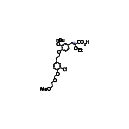 CCCCOc1cc(/C=C(\OCC)C(=O)O)ccc1OCCc1ccc(OCOCCOC)c(Cl)c1